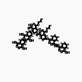 C=CCOC(=O)c1ccccc1C(=O)O.C=CCOC(=O)c1ccccc1C(=O)O.O=C(O)c1ccccc1C(=O)O.O=C(O)c1ccccc1C(=O)O.O=C(O)c1ccccc1C(=O)O.O=C(O)c1ccccc1C(=O)O